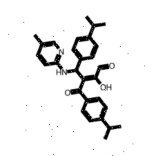 Cc1ccc(NC(/C(C(=O)c2ccc(C(C)C)cc2)=C(/O)C=O)c2ccc(C(C)C)cc2)nc1